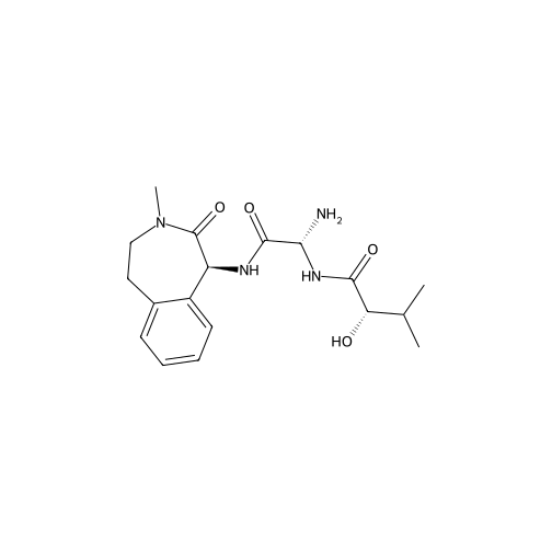 CC(C)[C@H](O)C(=O)N[C@@H](N)C(=O)N[C@@H]1C(=O)N(C)CCc2ccccc21